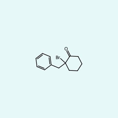 O=C1CCCCC1(Br)Cc1ccccc1